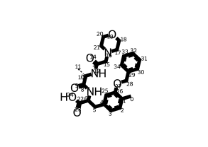 Cc1ccc(CC(NC(=O)[C@H](C)NC(=O)CN2CCOCC2)C(=O)O)cc1OCc1ccccc1